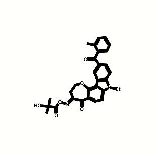 CCn1c2ccc(C(=O)c3ccccc3C)cc2c2c3c(ccc21)C(=O)/C(=N/OC(=O)C(C)(C)O)CCO3